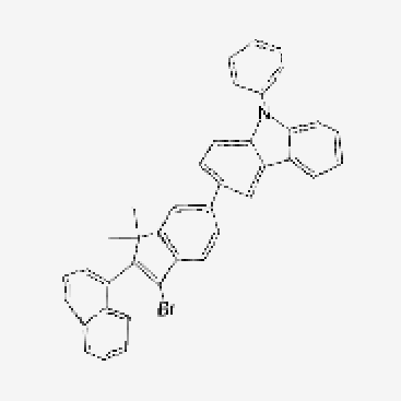 CC1(C)C(c2cccc3ccccc23)=C(Br)c2ccc(-c3ccc4c(c3)c3ccccc3n4-c3ccccc3)cc21